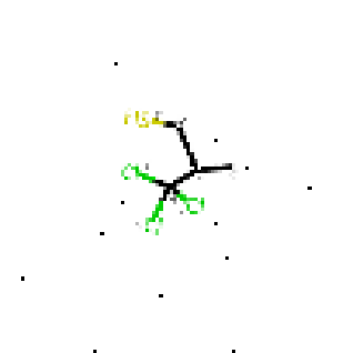 CC(CS)C(Cl)(Cl)Cl